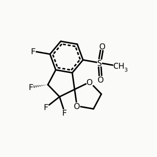 CS(=O)(=O)c1ccc(F)c2c1C1(OCCO1)C(F)(F)[C@@H]2F